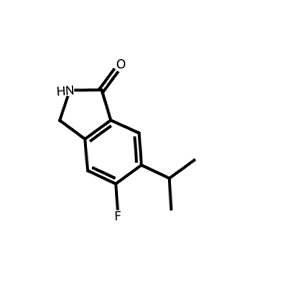 CC(C)c1cc2c(cc1F)CNC2=O